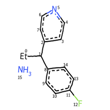 CCC(c1ccncc1)c1ccc(F)cc1.N